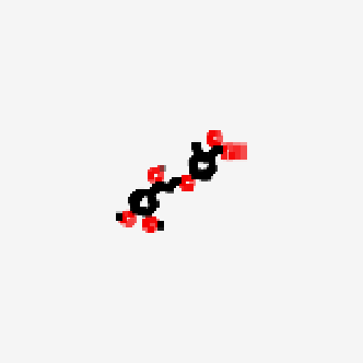 COc1ccc(C(CCOc2ccc(C(=O)O)c(C)c2)OC)cc1OC